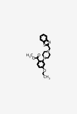 CCOc1ccc(C(=O)OC)c(N2CCN(Cc3nc4ccccc4s3)CC2)c1